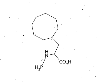 O=C(O)C(CC1CCCCCCC1)NP